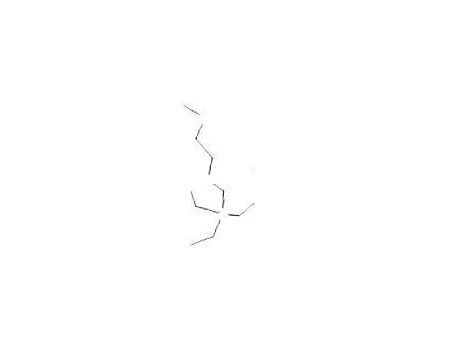 CC[N+](CC)(CC)COCCOC.[OH-]